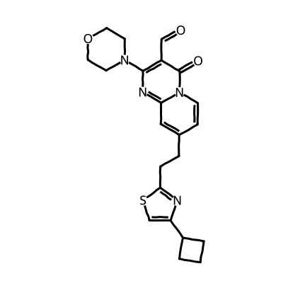 O=Cc1c(N2CCOCC2)nc2cc(CCc3nc(C4CCC4)cs3)ccn2c1=O